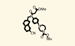 COC(=O)CC(=O)N(Cc1ccc2ccc(C#N)cc2c1)c1ccc(N2CCCN(C(=O)OC(C)(C)C)CC2)cc1